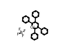 F[B-](F)(F)F.c1ccc(-c2cc(-c3ccccc3)c(-c3ccccc3)[o+]c2-c2ccccc2)cc1